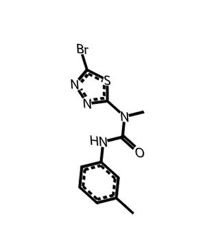 Cc1cccc(NC(=O)N(C)c2nnc(Br)s2)c1